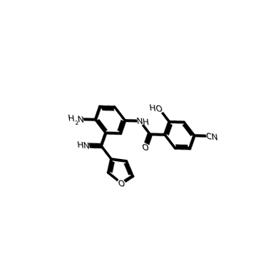 N#Cc1ccc(C(=O)Nc2ccc(N)c(C(=N)c3ccoc3)c2)c(O)c1